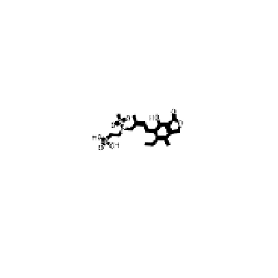 CCc1c(C)c2c(c(O)c1CC=C(C)CN(CCP(=O)(O)O)S(C)(=O)=O)C(=O)OC2